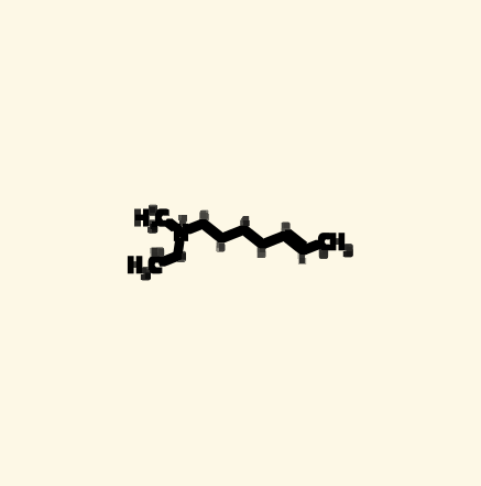 CC=CCCCCN(C)CC